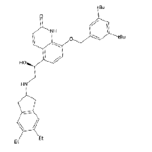 CCc1cc2c(cc1CC)CC(NC[C@@H](O)c1ccc(OCc3cc(C(C)(C)C)cc(C(C)(C)C)c3)c3[nH]c(=O)ccc13)C2